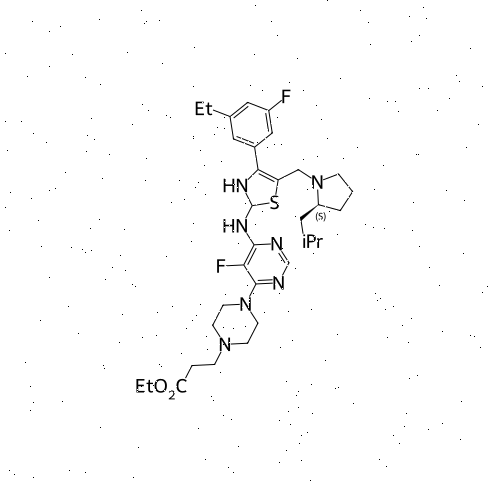 CCOC(=O)CCN1CCN(c2ncnc(NC3NC(c4cc(F)cc(CC)c4)=C(CN4CCC[C@H]4CC(C)C)S3)c2F)CC1